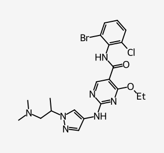 CCOc1nc(Nc2cnn(C(C)CN(C)C)c2)ncc1C(=O)Nc1c(Cl)cccc1Br